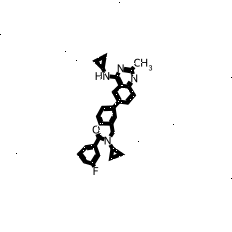 Cc1nc(NC2CC2)c2cc(-c3cccc(CN(C(=O)c4cccc(F)c4)C4CC4)c3)ccc2n1